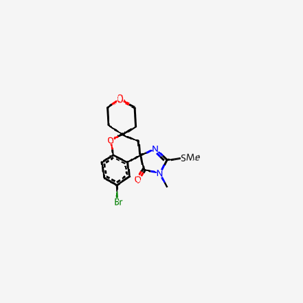 CSC1=NC2(CC3(CCOCC3)Oc3ccc(Br)cc32)C(=O)N1C